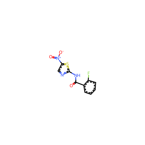 O=C(Nc1ncc([N+](=O)[O-])s1)c1ccccc1F